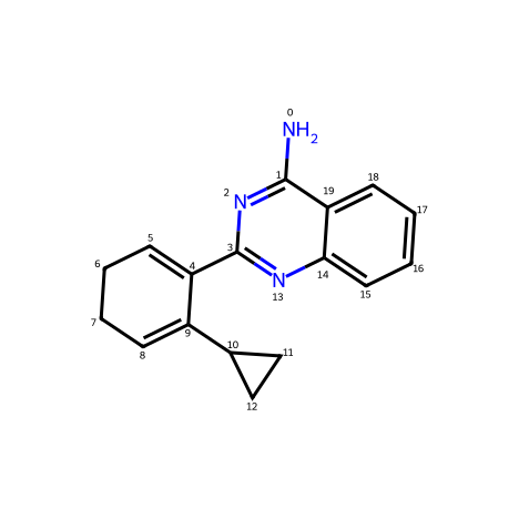 Nc1nc(C2=CCCC=C2C2CC2)nc2ccccc12